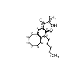 CCCCCn1c2c(cc(C(=O)N(C)O)c1=O)CCCCCC2